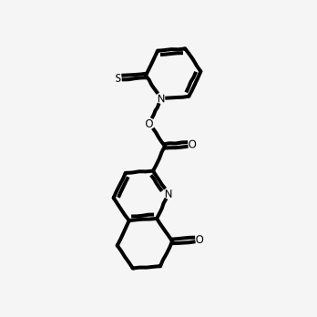 O=C(On1ccccc1=S)c1ccc2c(n1)C(=O)CCC2